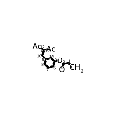 C=CC(=O)Oc1cccc(C=C(C(C)=O)C(C)=O)c1